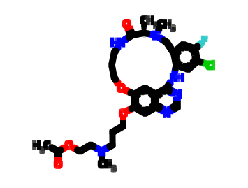 CC(=O)OCCN(C)CCCOc1cc2ncnc3c2cc1OCCCNC(=O)[C@@H](C)N(C)Cc1cc(F)c(Cl)cc1N3